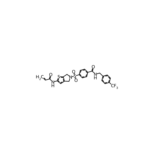 C=CC(=O)Nc1cc2c(s1)CN(S(=O)(=O)c1ccc(C(=O)NCc3ccc(C(F)(F)F)cc3)cc1)C2